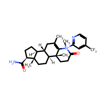 CC1=C2[C@](C)(CCC(=O)[N+]2(C)c2cc(C(F)(F)F)ccn2)[C@H]2CC[C@]3(C)[C@@H](C(N)=O)CC[C@H]3[C@@H]2C1